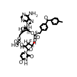 Cc1ccc(C(=O)c2ccc(CS[P@@]3(=O)OC[C@H]4O[C@@H](n5ccc(=O)[nH]c5=O)[C@H](OP(=O)(O)OC[C@H]5O[C@@H](n6cnc7c(N)ncnc76)[C@H](O3)[C@@H]5F)[C@@H]4F)cc2)cc1